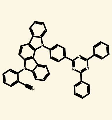 N#Cc1ccccc1-n1c2ccccc2c2c1ccc1c3ccccc3n(-c3ccc(-c4nc(-c5ccccc5)nc(-c5ccccc5)n4)cc3)c12